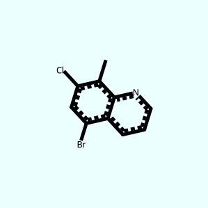 Cc1c(Cl)cc(Br)c2cccnc12